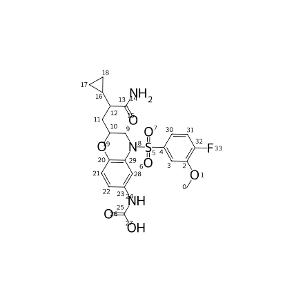 COc1cc(S(=O)(=O)N2CC(CC(C(N)=O)C3CC3)Oc3ccc(NC(=O)O)cc32)ccc1F